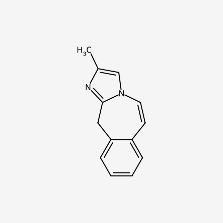 Cc1cn2c(n1)Cc1ccccc1C=C2